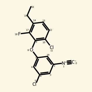 [C-]#[N+]c1cc(Cl)cc(Oc2c(Cl)ccc(CC)c2F)c1